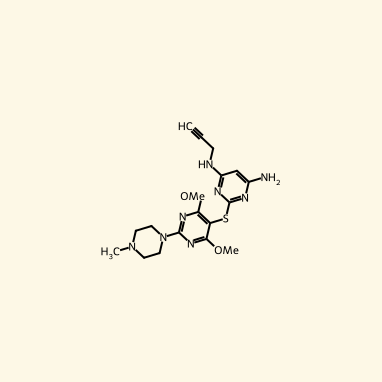 C#CCNc1cc(N)nc(Sc2c(OC)nc(N3CCN(C)CC3)nc2OC)n1